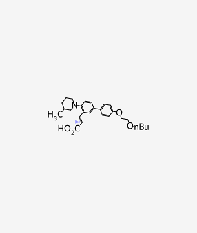 CCCCOCCOc1ccc(-c2ccc(N3CCCC(C)C3)c(/C=C/C(=O)O)c2)cc1